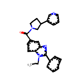 O=C(c1ccc2c(c1)nc(-c1ccccc1)n2CC(F)(F)F)N1CCC(c2cccnc2)C1